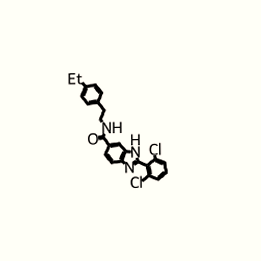 CCc1ccc(CCNC(=O)c2ccc3nc(-c4c(Cl)cccc4Cl)[nH]c3c2)cc1